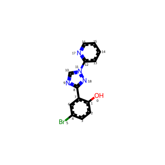 Oc1ccc(Br)cc1-c1ncn(-c2ccccn2)n1